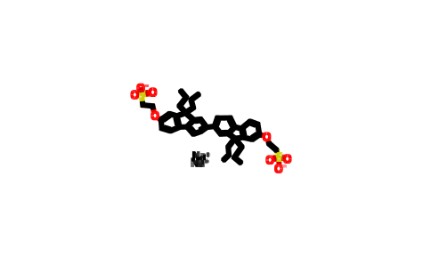 CCCC1(CCC)c2cc(OCCS(=O)(=O)[O-])ccc2-c2ccc(-c3ccc4c(c3)C(CCC)(CCC)c3cc(OCCS(=O)(=O)[O-])ccc3-4)cc21.[Na+].[Na+]